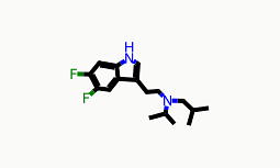 CC(C)CN(CCc1c[nH]c2cc(F)c(F)cc12)C(C)C